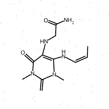 C=C1N(C)C(=O)C(NCC(N)=O)=C(N/C=C\C)N1C